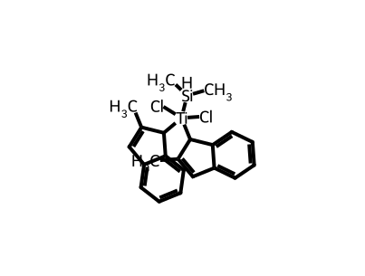 CC1=Cc2ccccc2[CH]1[Ti]([Cl])([Cl])([CH]1C(C)=Cc2ccccc21)[SiH](C)C